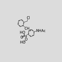 CC(=O)Nc1ccc([As](=O)(O)OO)cc1.Cc1ccccc1CCl